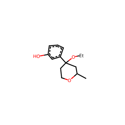 CCOC1(c2cccc(O)c2)CCOC(C)C1